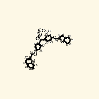 O=C(O)C=NOC(c1ccc(OCc2ccc3ccccc3n2)cc1)c1ccc(OCc2ccc3ccccc3n2)cc1